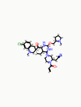 C=CC(=O)N1CCN(C2NC(OCC3CCCN3C)NC3C(=O)[C@]4(CCC32)Cc2ccc(Cl)cc2N(C)C4)CC1CC#N